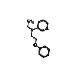 CCN(CCOc1ccccc1)c1c[c]ccc1